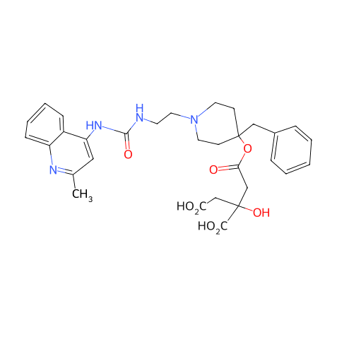 Cc1cc(NC(=O)NCCN2CCC(Cc3ccccc3)(OC(=O)CC(O)(CC(=O)O)C(=O)O)CC2)c2ccccc2n1